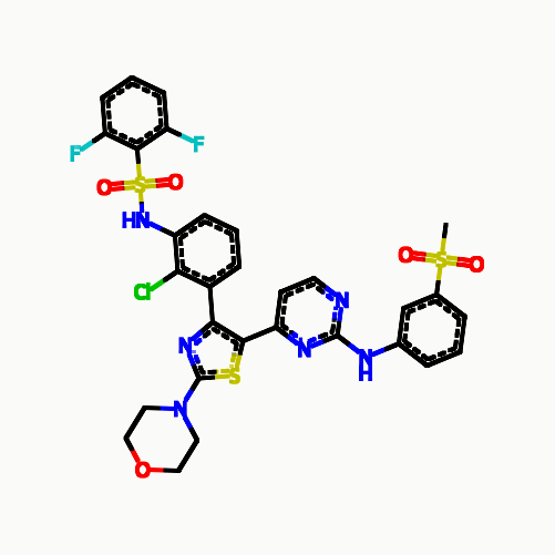 CS(=O)(=O)c1cccc(Nc2nccc(-c3sc(N4CCOCC4)nc3-c3cccc(NS(=O)(=O)c4c(F)cccc4F)c3Cl)n2)c1